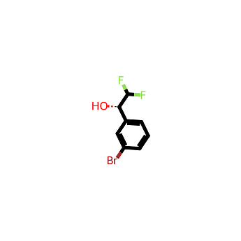 O[C@@H](c1cccc(Br)c1)C(F)F